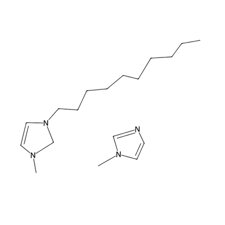 CCCCCCCCCCN1C=CN(C)C1.Cn1ccnc1